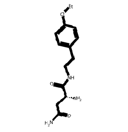 CCOc1ccc(CCNC(=O)[C@H](N)CC(N)=O)cc1